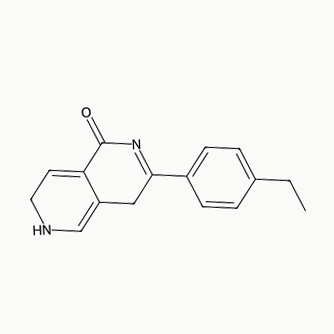 CCc1ccc(C2=NC(=O)C3=CCNC=C3C2)cc1